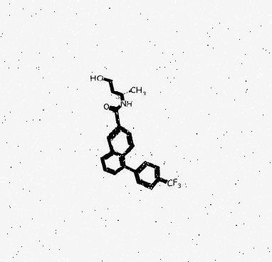 C[C@@H](CCO)NC(=O)c1ccc2c(-c3ccc(C(F)(F)F)cc3)cccc2c1